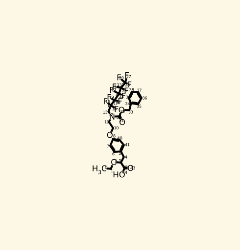 CCOC(Cc1ccc(OCCN(CC(F)(F)C(F)(F)C(F)(F)C(F)(F)C(F)(F)F)C(=O)OCc2ccccc2)cc1)C(=O)O